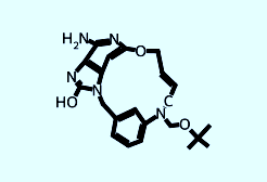 CC(C)(C)OCN1C/C=C/COc2cc3c(nc(O)n3Cc3cccc1c3)c(N)n2